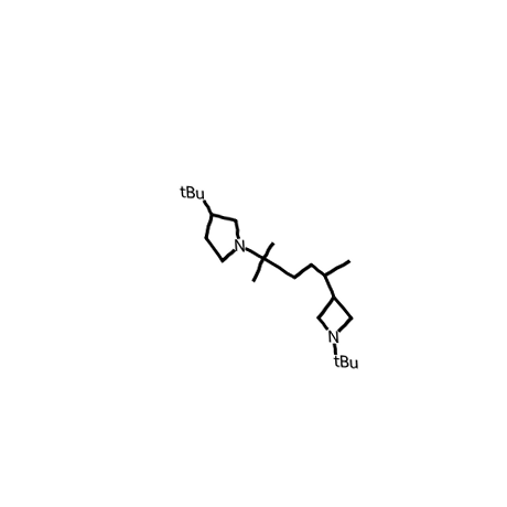 CC(CCC(C)(C)N1CCC(C(C)(C)C)C1)C1CN(C(C)(C)C)C1